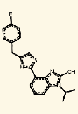 CC(C)n1c(O)nc2c(-c3nc(Cc4ccc(F)cc4)cs3)cccc21